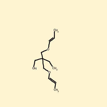 CC=COCC(CC)(CO)COC=CC